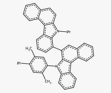 Cc1cc(-n2c3ccccc3c3c4ccccc4cc(-c4cccc5c6c7ccccc7ccc6n(C(C)C)c45)c32)c(C)cc1C(C)C